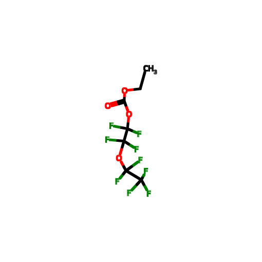 CCOC(=O)OC(F)(F)C(F)(F)OC(F)(F)C(F)(F)F